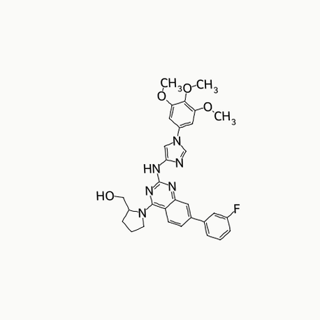 COc1cc(-n2cnc(Nc3nc(N4CCCC4CO)c4ccc(-c5cccc(F)c5)cc4n3)c2)cc(OC)c1OC